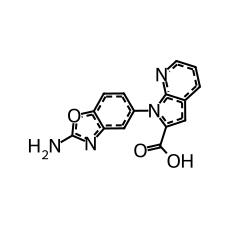 Nc1nc2cc(-n3c(C(=O)O)cc4cccnc43)ccc2o1